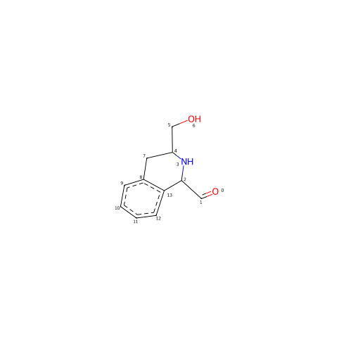 O=CC1NC(CO)Cc2ccccc21